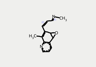 C/N=C/C=C\C1=C(C)c2ncccc2C2OC12